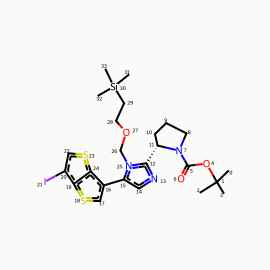 CC(C)(C)OC(=O)N1CCC[C@H]1c1ncc(-c2csc3c(I)csc23)n1COCC[Si](C)(C)C